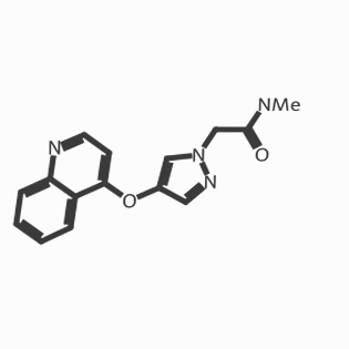 CNC(=O)Cn1cc(Oc2ccnc3ccccc23)cn1